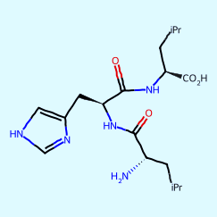 CC(C)C[C@H](NC(=O)[C@H](Cc1c[nH]cn1)NC(=O)[C@@H](N)CC(C)C)C(=O)O